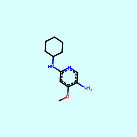 COc1cc(NC2CCCCC2)ncc1N